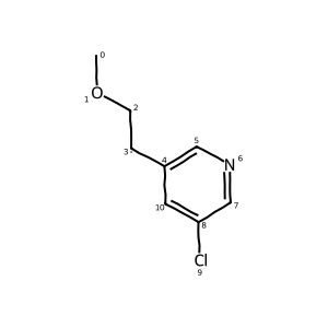 COC[CH]c1cncc(Cl)c1